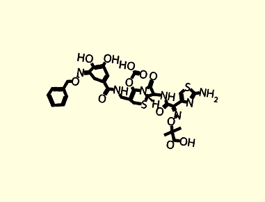 CC(C)(O/N=C(\C(=O)NC1C(=O)N2C(OC(=O)O)=C(CNC(=O)C3=CC(O)=C(O)C(=NOCc4ccccc4)C3)CS[C@@H]12)c1csc(N)n1)C(=O)O